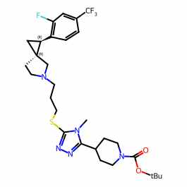 Cn1c(SCCCN2CC[C@@]3(C[C@H]3c3ccc(C(F)(F)F)cc3F)C2)nnc1C1CCN(C(=O)OC(C)(C)C)CC1